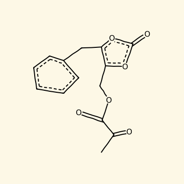 CC(=O)C(=O)OCc1oc(=O)oc1Cc1ccccc1